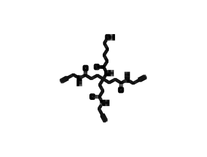 C#CCNC(=O)CCC(CCC(=O)NCC#C)(CCC(=O)NCC#C)NC(=O)CCCCO